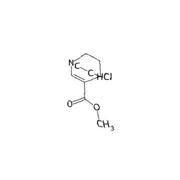 COC(=O)C1=CN2CCC1CC2.Cl